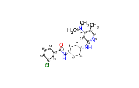 Cc1cnc(N[C@H]2CC[C@@H](NC(=O)c3cccc(Cl)c3)CC2)cc1N(C)C